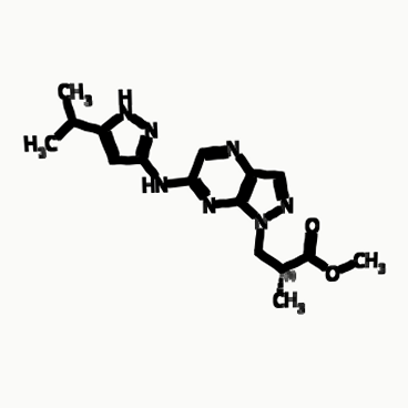 COC(=O)[C@H](C)Cn1ncc2ncc(Nc3cc(C(C)C)[nH]n3)nc21